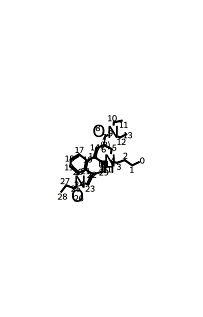 CCCCN1C[C@H](C(=O)N(CC)CC)C=C2c3cccc4c3c(cn4C(=O)CC)C[C@H]21